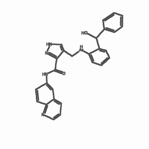 O=C(Nc1ccc2ncccc2c1)c1n[nH]cc1C[AsH]c1ccccc1C(O)c1ccccc1